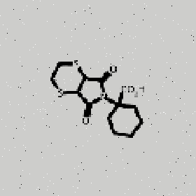 O=C1C2SCCSC2C(=O)N1C1(C(=O)O)CCCCC1